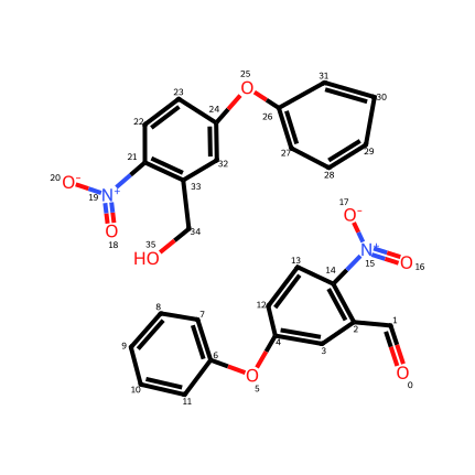 O=Cc1cc(Oc2ccccc2)ccc1[N+](=O)[O-].O=[N+]([O-])c1ccc(Oc2ccccc2)cc1CO